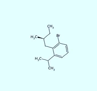 CC[C@H](C)Cc1c(Br)cccc1C(C)C